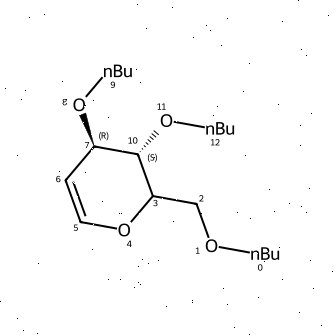 CCCCOCC1OC=C[C@@H](OCCCC)[C@@H]1OCCCC